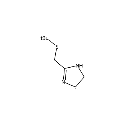 CC(C)(C)SCC1=N[CH]CN1